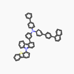 C1=CC(N(c2ccc(-c3ccccc3)cc2)c2cccc(-c3cccc4c3c3ccccc3n4-c3cccc4c3sc3ccccc34)c2)CC=C1c1ccc(-c2cccc3ccccc23)cc1